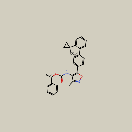 Cc1noc(-c2ccc(-c3ccccc3C3(C(=O)O)CC3)cc2)c1NC(=O)O[C@H](C)c1ccccc1